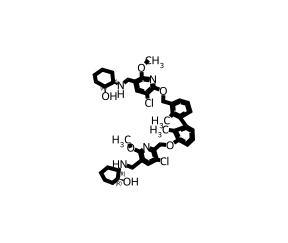 COc1nc(COc2cccc(-c3cccc(COc4nc(OC)c(CN[C@@H]5CCCC[C@H]5O)cc4Cl)c3C)c2C)c(Cl)cc1CN[C@@H]1CCCC[C@H]1O